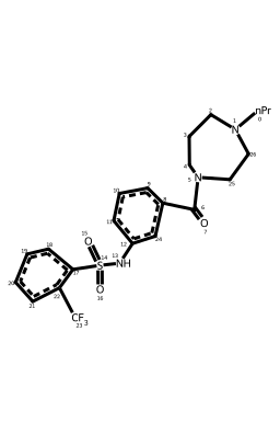 CCCN1CCCN(C(=O)c2cccc(NS(=O)(=O)c3ccccc3C(F)(F)F)c2)CC1